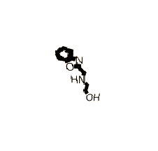 OCCNCc1nc2ccccc2o1